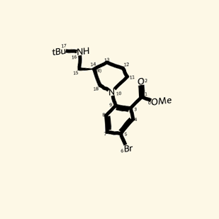 COC(=O)c1cc(Br)ccc1N1CCC[C@H](CNC(C)(C)C)C1